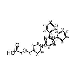 O=C(O)COCC1CCN(c2cnc(-c3ccccc3)c(-c3ccccc3)n2)CC1